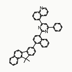 CC1(C)c2ccc(-c3ccc(-c4nc(-c5ccccc5)cc(-c5cccc6ncccc56)n4)c4ccccc34)cc2-c2ccc3ccccc3c21